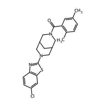 Cc1ccc(C)c(C(=O)N2CC3CC(C2)CN(c2nc4ccc(Cl)cc4s2)C3)c1